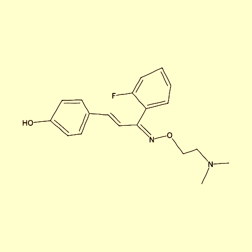 CN(C)CCO/N=C(/C=C/c1ccc(O)cc1)c1ccccc1F